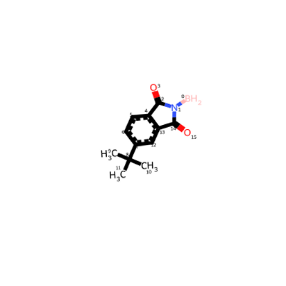 BN1C(=O)c2ccc(C(C)(C)C)cc2C1=O